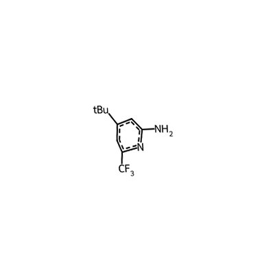 CC(C)(C)c1cc(N)nc(C(F)(F)F)c1